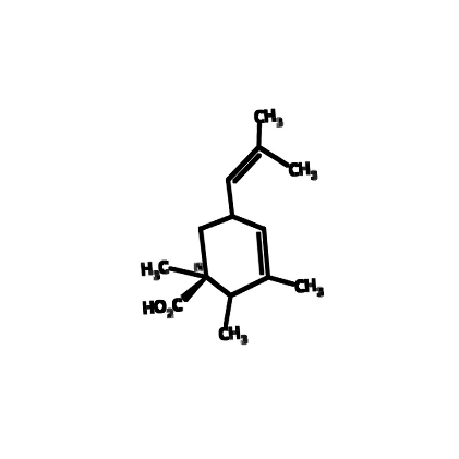 CC(C)=CC1C=C(C)C(C)[C@@](C)(C(=O)O)C1